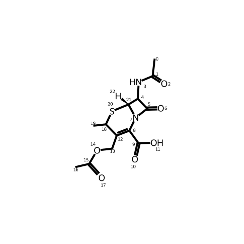 CC(=O)NC1C(=O)N2C(C(=O)O)=C(COC(C)=O)C(C)S[C@H]12